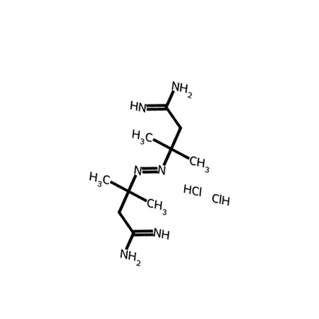 CC(C)(CC(=N)N)N=NC(C)(C)CC(=N)N.Cl.Cl